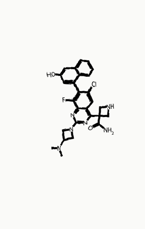 CN(C)C1CN(c2nc(C3(C(N)=O)CNC3)c3cc(Cl)c(-c4cc(O)cc5ccccc45)c(F)c3n2)C1